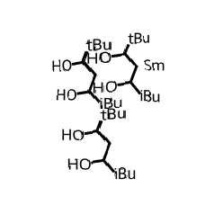 CCC(C)C(O)CC(O)C(C)(C)C.CCC(C)C(O)CC(O)C(C)(C)C.CCC(C)C(O)CC(O)C(C)(C)C.[Sm]